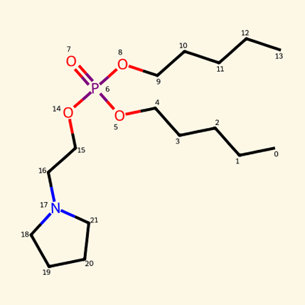 CCCCCOP(=O)(OCCCCC)OCCN1CCCC1